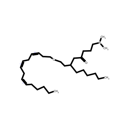 CCCCC/C=C\C/C=C\C/C=C\CCCCCC(CCCCCC)CC(=O)CCCN(C)C